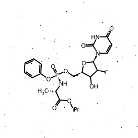 CC(C)OC(=O)[C@H](C)N[P@@](=O)(OC[C@H]1O[C@@H](n2ccc(=O)[nH]c2=O)[C@@H](F)C1O)Oc1ccccc1